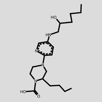 CCCCC(O)CNc1ccc(N2CCN(C(=O)O)C(CCCC)C2)nc1